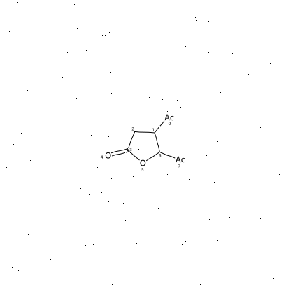 CC(=O)C1CC(=O)OC1C(C)=O